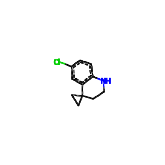 Clc1ccc2c(c1)C1(CCN2)CC1